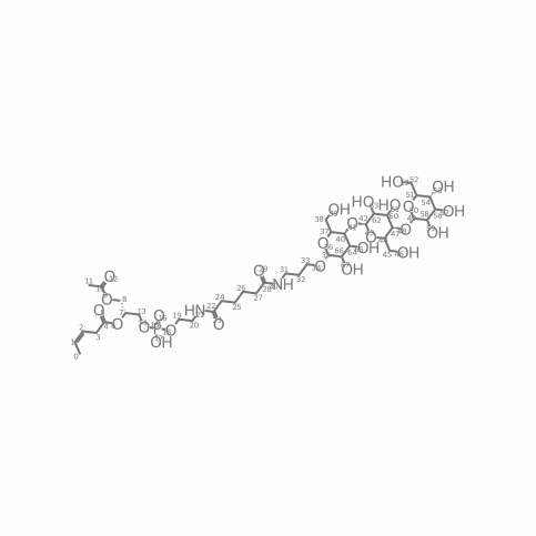 C/C=C\CC(=O)O[C@H](COC(C)=O)COP(=O)(O)OCCNC(=O)CCCCC(=O)NCCCO[C@@H]1OC(CO)[C@@H](O[C@@H]2OC(CO)[C@H](O[C@H]3OC(CO)[C@H](O)C(O)C3O)C(O)C2O)C(O)C1O